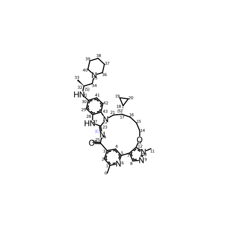 Cc1cc2cc(n1)-c1cnn(C)c1OCCC[C@@H](C1CC1)CN1/C(=N/C2=O)Nc2cc(N[C@@H](C)CN3CCCCC3)ccc21